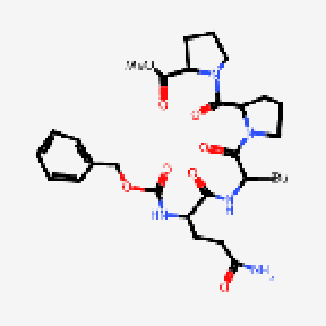 CCC(C)C(NC(=O)C(CCC(N)=O)NC(=O)OCc1ccccc1)C(=O)N1CCCC1C(=O)N1CCCC1C(=O)OC